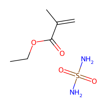 C=C(C)C(=O)OCC.NS(N)(=O)=O